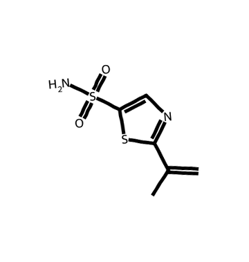 C=C(C)c1ncc(S(N)(=O)=O)s1